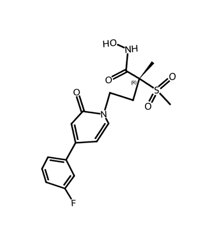 C[C@@](CCn1ccc(-c2cccc(F)c2)cc1=O)(C(=O)NO)S(C)(=O)=O